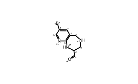 O=CC1CNCc2cc(Br)cnc2N1